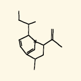 C=C(C)C1CC(C)C2=CN1C(C(C)CC)C=C2